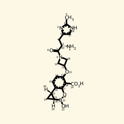 Cc1nc(C[C@H](N)C(=O)N2CC(Oc3ccc4c(c3C(=O)O)OB(O)[C@@H]3C[C@H]43)C2)c[nH]1